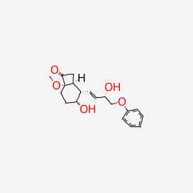 CO[C@@]12CC[C@H](O)[C@@H](/C=C/[C@H](O)COc3ccccc3)[C@@H]1CC2=O